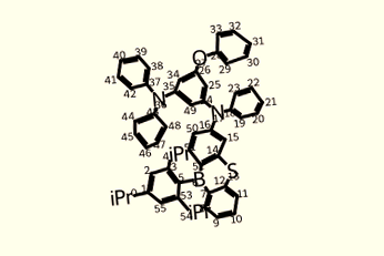 CC(C)c1cc(C(C)C)c(B2c3ccccc3Sc3cc(N(c4ccccc4)c4cc(Oc5ccccc5)cc(N(c5ccccc5)c5ccccc5)c4)ccc32)c(C(C)C)c1